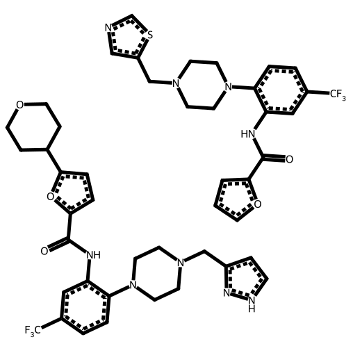 O=C(Nc1cc(C(F)(F)F)ccc1N1CCN(Cc2cc[nH]n2)CC1)c1ccc(C2CCOCC2)o1.O=C(Nc1cc(C(F)(F)F)ccc1N1CCN(Cc2cncs2)CC1)c1ccco1